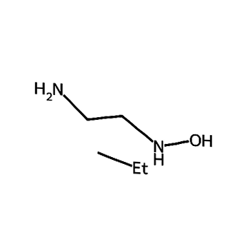 CCC.NCCNO